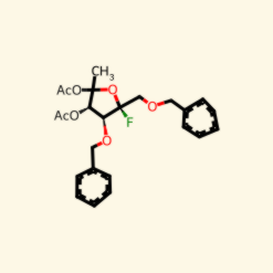 CC(=O)O[C@@H]1[C@H](OCc2ccccc2)[C@@](F)(COCc2ccccc2)OC1(C)OC(C)=O